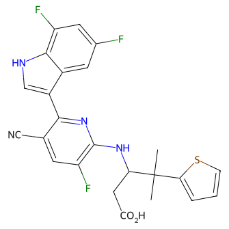 CC(C)(c1cccs1)C(CC(=O)O)Nc1nc(-c2c[nH]c3c(F)cc(F)cc23)c(C#N)cc1F